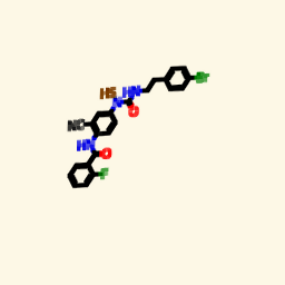 N#Cc1cc(N(S)C(=O)NCCc2ccc(Br)cc2)ccc1NC(=O)c1ccccc1F